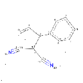 C=CC(c1ccccc1)C(C#N)C#N